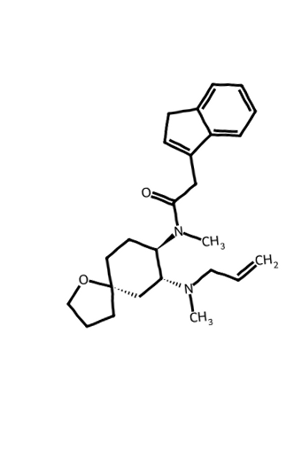 C=CCN(C)[C@@H]1C[C@@]2(CCCO2)CC[C@H]1N(C)C(=O)CC1=CCc2ccccc21